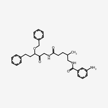 CC(CCC(=O)NCC(=O)C(CCc1ccccc1)OCc1ccccc1)CNC(=O)c1cccc(N)c1